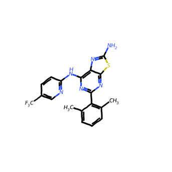 Cc1cccc(C)c1-c1nc(Nc2ccc(C(F)(F)F)cn2)c2nc(N)sc2n1